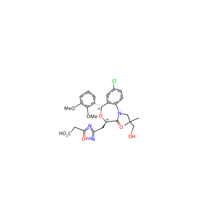 COc1cccc([C@H]2O[C@H](Cc3noc(CC(=O)O)n3)C(=O)N(CC(C)(C)CO)c3ccc(Cl)cc32)c1OC